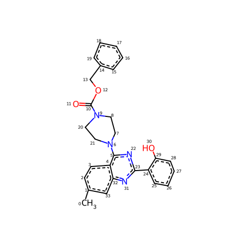 Cc1ccc2c(N3CCN(C(=O)OCc4ccccc4)CC3)nc(-c3ccccc3O)nc2c1